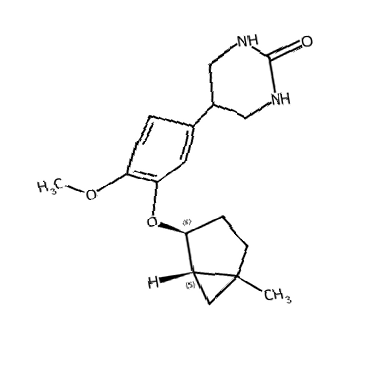 COc1ccc(C2CNC(=O)NC2)cc1O[C@H]1CCC2(C)C[C@H]12